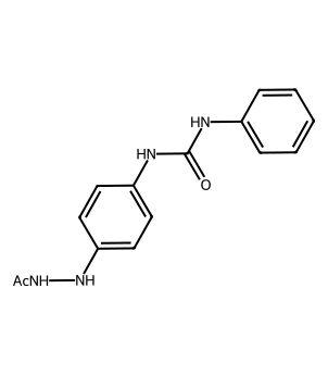 CC(=O)NNc1ccc(NC(=O)Nc2ccccc2)cc1